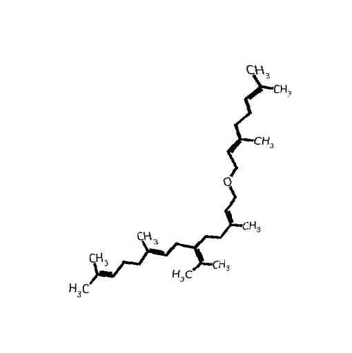 CC(C)=CCC/C(C)=C/COC/C=C(\C)CCC(C/C=C(\C)CCC=C(C)C)=C(C)C